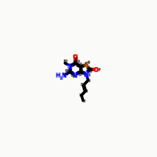 CC/C=C/Cn1c(=O)sc2c(=O)n(C)c(N)nc21